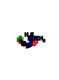 Cc1cn(C)c(=O)c2c(C(=O)N3CC4CC4(c4ccc(OC(F)(F)F)cc4)C3)cnn12